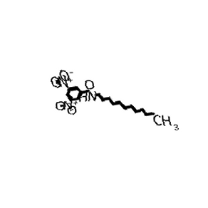 CCCCCCCCCCCCNC(=O)c1cc([N+](=O)[O-])cc([N+](=O)[O-])c1